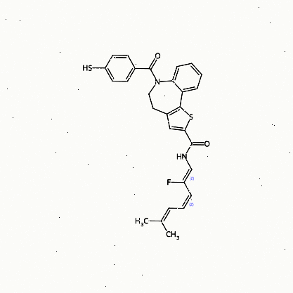 CC(C)=C/C=C\C(F)=C\NC(=O)c1cc2c(s1)-c1ccccc1N(C(=O)c1ccc(S)cc1)CC2